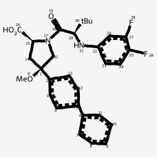 CO[C@@]1(c2ccc(-c3ccccc3)cc2)C[C@@H](C(=O)O)N(C(=O)[C@H](Nc2ccc(F)c(F)c2)C(C)(C)C)C1